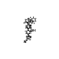 C[C@@]12CCC[C@@](C)(N1)[C@@H](F)[C@@H](N(c1cnc(-c3ccc(-c4ncc(C#N)s4)cc3O)nn1)C1CC1)C2